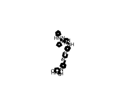 CN(Cc1ccc(NC2CCC(=O)NC2=O)cc1)C1CCN(c2ccc(Nc3ncc4nc(Nc5ccccc5)n(C5CCCC5)c4n3)cc2)CC1